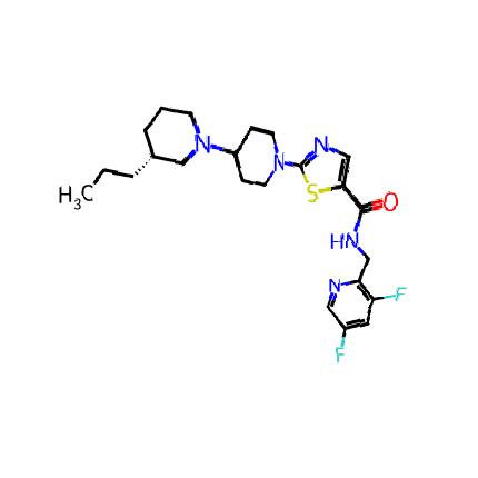 CCC[C@@H]1CCCN(C2CCN(c3ncc(C(=O)NCc4ncc(F)cc4F)s3)CC2)C1